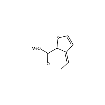 CC=C1C=CSC1C(=O)OC